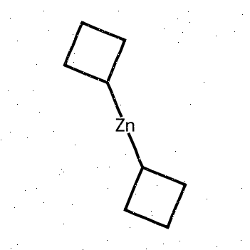 C1C[CH]([Zn][CH]2CCC2)C1